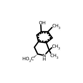 Cc1cc2c(cc1O)C[C@@H](C(=O)O)NC2(C)C